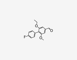 CCOc1cc(C=O)cc(OC)c1-c1ccc(F)cc1